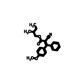 CCC(C)COC(=O)/C(C#N)=C(/c1ccccc1)c1ccc(OC)cc1